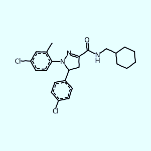 Cc1cc(Cl)ccc1N1N=C(C(=O)NCC2CCCCC2)CC1c1ccc(Cl)cc1